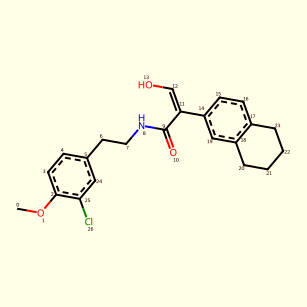 COc1ccc(CCNC(=O)C(=CO)c2ccc3c(c2)CCCC3)cc1Cl